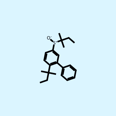 CCC(C)(C)c1ccc([S+]([O-])C(C)(C)CC)cc1-c1ccccc1